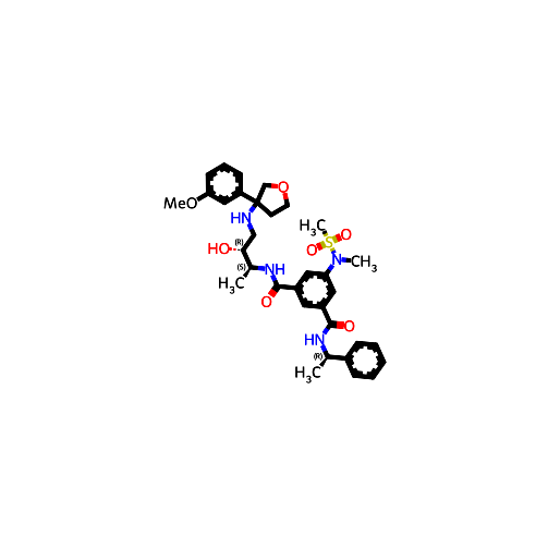 COc1cccc(C2(NC[C@@H](O)[C@H](C)NC(=O)c3cc(C(=O)N[C@H](C)c4ccccc4)cc(N(C)S(C)(=O)=O)c3)CCOC2)c1